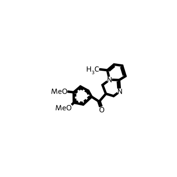 COc1ccc(C(=O)C2CN=C3C=CC=C(C)N3C2)cc1OC